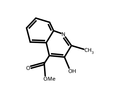 COC(=O)c1c(O)c(C)nc2ccccc12